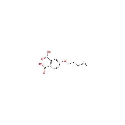 CCCCOc1ccc(C(=O)O)c(C(=O)O)c1